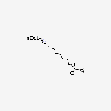 CCCCCCCC/C=C/CCCCCCCCOC(=O)C1CC1